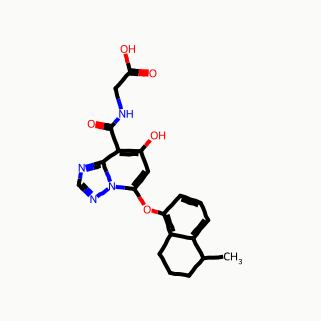 CC1CCCc2c(Oc3cc(O)c(C(=O)NCC(=O)O)c4ncnn34)cccc21